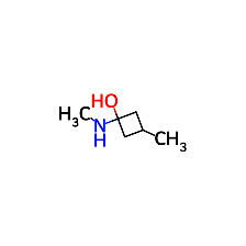 CNC1(O)CC(C)C1